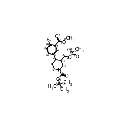 COC(=O)c1cc(C2CCN(C(=O)OC(C)(C)C)CC2COS(C)(=O)=O)ccc1F